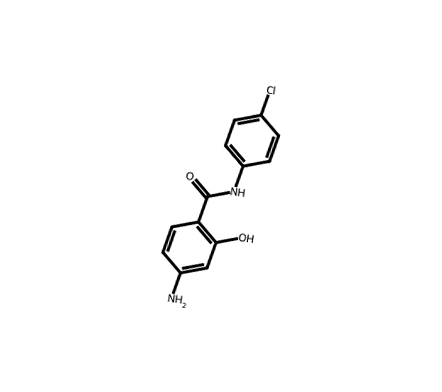 Nc1ccc(C(=O)Nc2ccc(Cl)cc2)c(O)c1